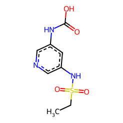 CCS(=O)(=O)Nc1cncc(NC(=O)O)c1